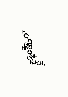 Cc1cc(C(=O)Nc2ccc(NS(=O)(=O)c3cccc(-c4ccc(F)cc4)c3)cc2)no1